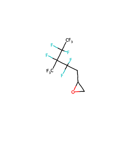 FC(F)(F)C(F)(F)C(F)(C(F)(F)F)C(F)(F)CC1CO1